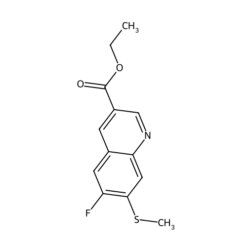 CCOC(=O)c1cnc2cc(SC)c(F)cc2c1